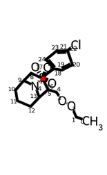 CCOOCC1C(=O)CC2CCCC1N2S(=O)(=O)c1ccc(Cl)cc1